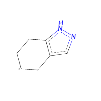 [C]1CCc2[nH]ncc2C1